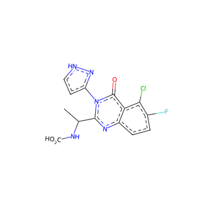 CC(NC(=O)O)c1nc2ccc(F)c(Cl)c2c(=O)n1-c1cc[nH]n1